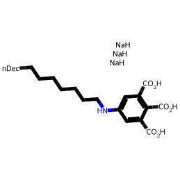 CCCCCCCCCCCCCCCCCNc1cc(C(=O)O)c(C(=O)O)c(C(=O)O)c1.[NaH].[NaH].[NaH]